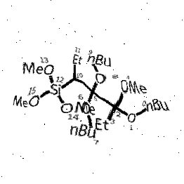 CCCCOC(CC)(OC)C(OCCCC)(OCCCC)C(CC)[Si](OC)(OC)OC